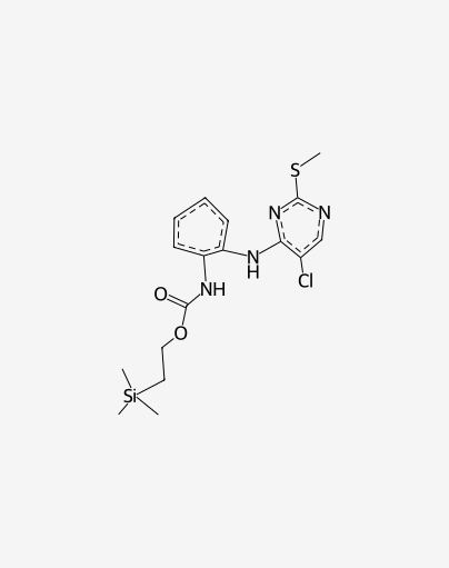 CSc1ncc(Cl)c(Nc2ccccc2NC(=O)OCC[Si](C)(C)C)n1